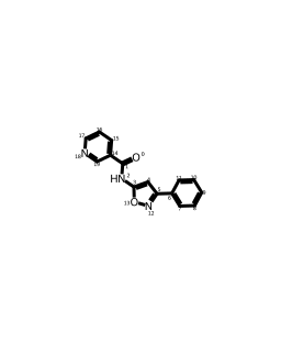 O=C(Nc1cc(-c2ccccc2)no1)c1cccnc1